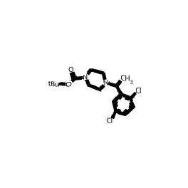 CC(c1cc(Cl)ccc1Cl)N1CCN(C(=O)OC(C)(C)C)CC1